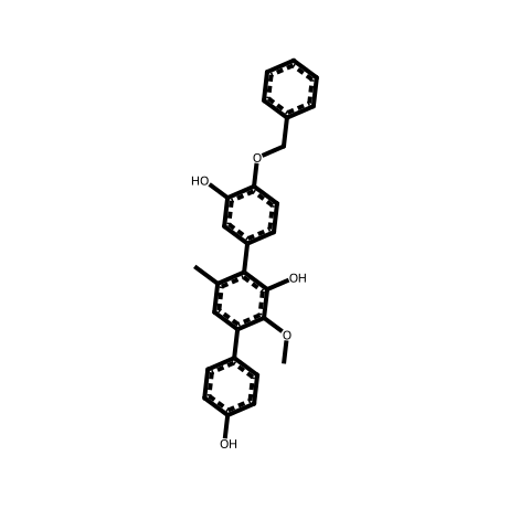 COc1c(-c2ccc(O)cc2)cc(C)c(-c2ccc(OCc3ccccc3)c(O)c2)c1O